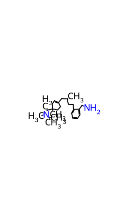 C=C(N(C)C(C)C)C1(C)CC=C(CC(C)CCc2ccccc2CN)CC1